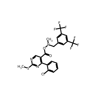 CSc1ncc(C(=O)ON(C)Cc2cc(C(F)(F)F)cc(C(F)(F)F)c2)c(-c2ccccc2Cl)n1